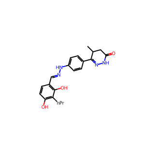 CCCc1c(O)ccc(C=NNc2ccc(C3=NNC(=O)CC3C)cc2)c1O